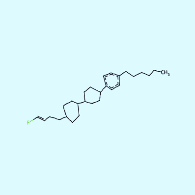 CCCCCCc1ccc(C2CCC(C3CCC(CC/C=C/F)CC3)CC2)cc1